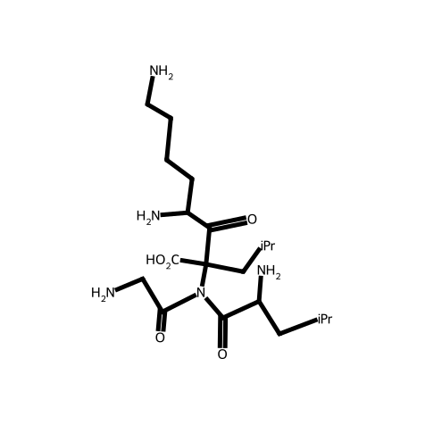 CC(C)CC(N)C(=O)N(C(=O)CN)C(CC(C)C)(C(=O)O)C(=O)C(N)CCCCN